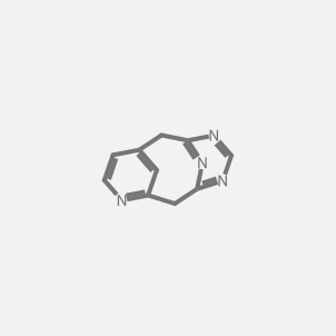 c1cc2cc(n1)Cc1ncnc(n1)C2